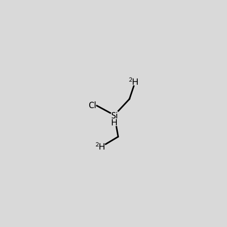 [2H]C[SiH](Cl)C[2H]